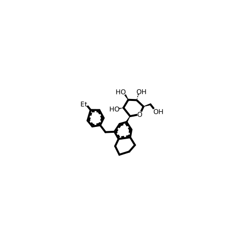 CCc1ccc(Cc2cc([C@@H]3O[C@H](CO)[C@@H](O)[C@H](O)[C@H]3O)cc3c2CCCC3)cc1